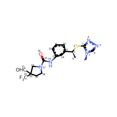 C[C@H](Sc1nncn1C)c1cccc(NC(=O)N2CCC(C=O)(C(F)(F)F)C2)c1